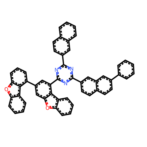 c1ccc(-c2ccc3ccc(-c4nc(-c5ccc6ccccc6c5)nc(-c5cc(-c6cccc7oc8ccccc8c67)cc6oc7ccccc7c56)n4)cc3c2)cc1